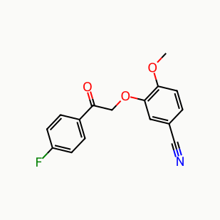 COc1ccc(C#N)cc1OCC(=O)c1ccc(F)cc1